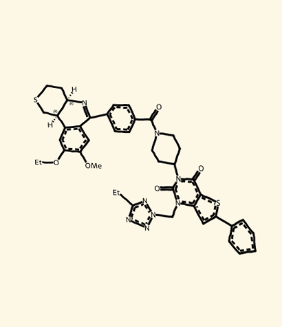 CCOc1cc2c(cc1OC)C(c1ccc(C(=O)N3CCC(n4c(=O)c5sc(-c6ccccc6)cc5n(Cn5nnc(CC)n5)c4=O)CC3)cc1)=N[C@@H]1CCSC[C@H]21